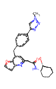 Cn1cc(-c2ccc(Cc3cc(C(=O)N[C@H]4CCCC[C@@H]4O)nc4ccoc34)cc2)nn1